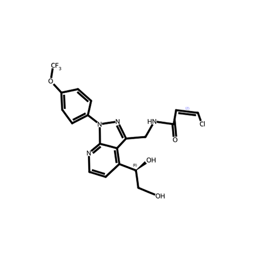 O=C(/C=C\Cl)NCc1nn(-c2ccc(OC(F)(F)F)cc2)c2nccc([C@@H](O)CO)c12